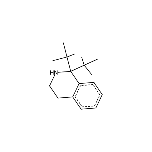 CC(C)(C)C1(C(C)(C)C)NCCc2ccccc21